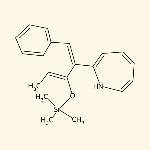 CC=C(O[Si](C)(C)C)C(=Cc1ccccc1)C1=CC=CC=CN1